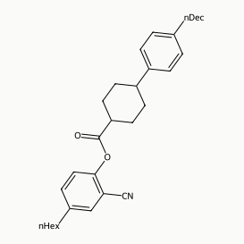 CCCCCCCCCCc1ccc(C2CCC(C(=O)Oc3ccc(CCCCCC)cc3C#N)CC2)cc1